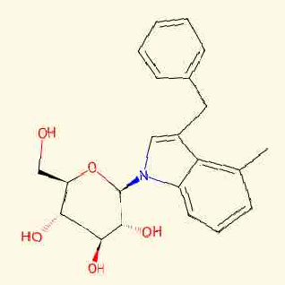 Cc1cccc2c1c(Cc1ccccc1)cn2[C@@H]1O[C@H](CO)[C@@H](O)[C@H](O)[C@H]1O